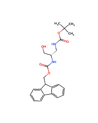 CC(C)(C)OC(=O)NC[C@@H](CO)NC(=O)OCC1c2ccccc2-c2ccccc21